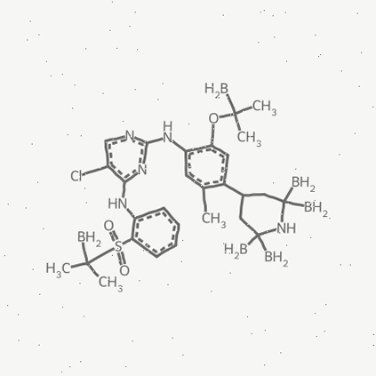 BC1(B)CC(c2cc(OC(B)(C)C)c(Nc3ncc(Cl)c(Nc4ccccc4S(=O)(=O)C(B)(C)C)n3)cc2C)CC(B)(B)N1